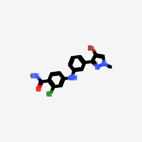 Cn1cc(Br)c(-c2cccc(Nc3ccc(C([NH])=O)c(Cl)c3)c2)n1